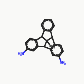 CC12C3c4ccccc4C1c1ccc(N)cc1C2c1cc(N)ccc13